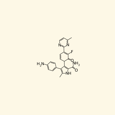 Cc1ccnc(C2=C(F)C(=O)C(c3c(C(N)=O)[nH]c(C)c3-c3ccc(N)cc3)C=C2)n1